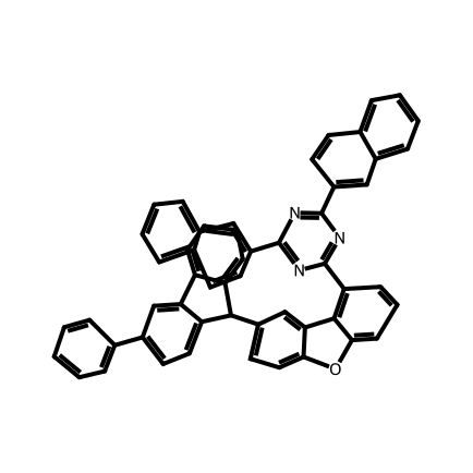 c1ccc(-c2ccc3c(c2)-c2ccccc2C3c2ccc3oc4cccc(-c5nc(-c6ccc7ccccc7c6)nc(-c6ccc7ccccc7c6)n5)c4c3c2)cc1